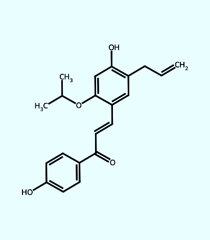 C=CCc1cc(/C=C/C(=O)c2ccc(O)cc2)c(OC(C)C)cc1O